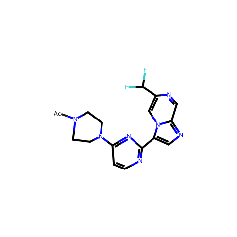 CC(=O)N1CCN(c2ccnc(-c3cnc4cnc(C(F)F)cn34)n2)CC1